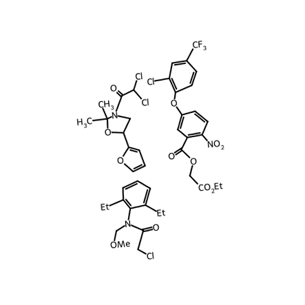 CC1(C)OC(c2ccco2)CN1C(=O)C(Cl)Cl.CCOC(=O)COC(=O)c1cc(Oc2ccc(C(F)(F)F)cc2Cl)ccc1[N+](=O)[O-].CCc1cccc(CC)c1N(COC)C(=O)CCl